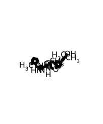 Cc1ccccc1Cc1nc(C(=O)N[C@@H]2COc3ccc(C#CC(C)(C)O)cc3N(C)C2=O)n[nH]1